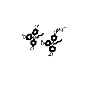 CCCC[B-](c1ccc(OC)cc1)(c1ccc(OC)cc1)c1ccc(OC)cc1.CCCC[B-](c1ccc(OC)cc1)(c1ccc(OC)cc1)c1ccc(OC)cc1.[Mg+2]